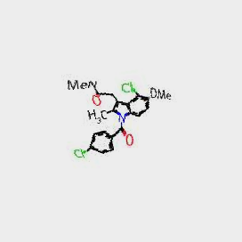 CNC(=O)Cc1c(C)n(C(=O)c2ccc(Cl)cc2)c2ccc(OC)c(Cl)c12